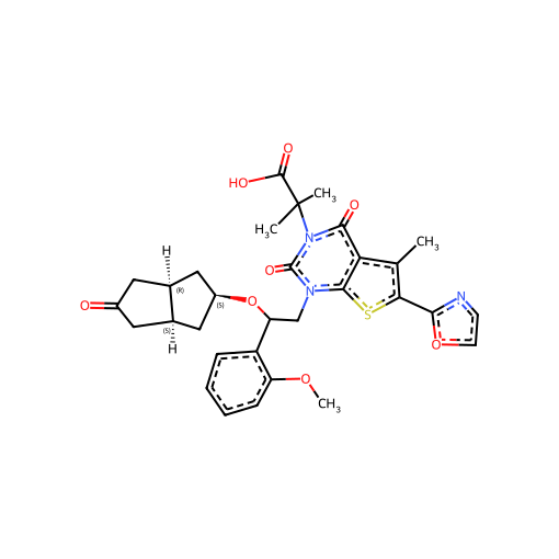 COc1ccccc1C(Cn1c(=O)n(C(C)(C)C(=O)O)c(=O)c2c(C)c(-c3ncco3)sc21)O[C@H]1C[C@H]2CC(=O)C[C@H]2C1